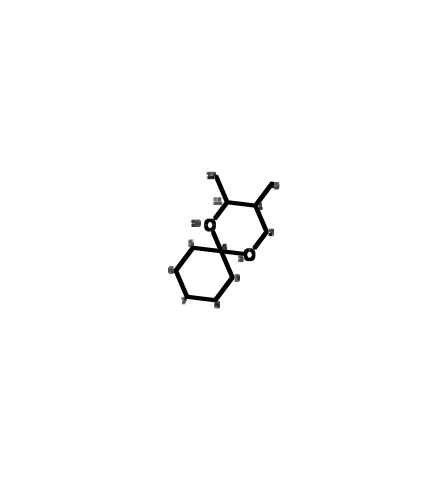 [CH2]C1COC2(CCCCC2)OC1C